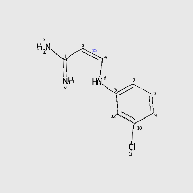 N=C(N)/C=C\Nc1cccc(Cl)c1